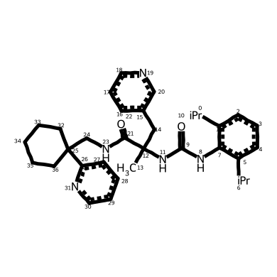 CC(C)c1cccc(C(C)C)c1NC(=O)NC(C)(Cc1cccnc1)C(=O)NCC1(c2ccccn2)CCCCC1